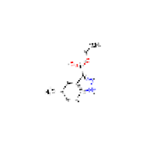 CCOC(=O)c1n[nH]c2c1CC(C)CC2